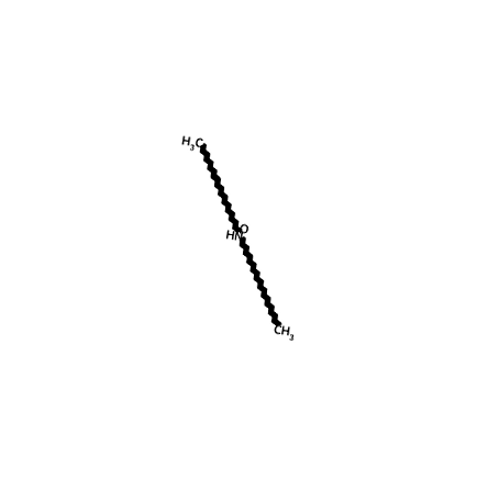 CCCCCCCCC=CCCCCCCCCCCCC(=O)NCCCCCCCCCCCCCCCCCCCCCC